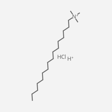 CCCCCCCCCCCCCCCC[N+](C)(C)C.Cl.[H+]